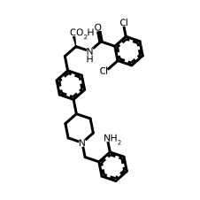 Nc1ccccc1CN1CCC(c2ccc(C[C@H](NC(=O)c3c(Cl)cccc3Cl)C(=O)O)cc2)CC1